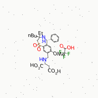 CCCC[C@]1(CC)CS(=O)(=O)c2cc(CN[C@H](CC(=O)O)C(=O)O)c(OC)cc2[C@@H](c2ccccc2)N1.O=C(O)C(F)(F)F